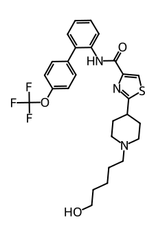 O=C(Nc1ccccc1-c1ccc(OC(F)(F)F)cc1)c1csc(C2CCN(CCCCCO)CC2)n1